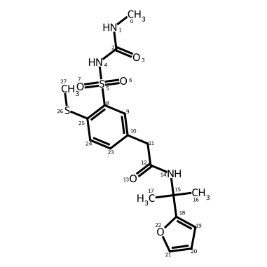 CNC(=O)NS(=O)(=O)c1cc(CC(=O)NC(C)(C)c2ccco2)ccc1SC